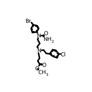 COC(=O)CCCN(CCCN(C(N)=O)c1ccc(Br)cc1)CCc1ccc(Cl)cc1